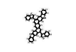 c1ccc2c(-c3cc4cc5c(cc(-c6csc7ccccc67)c6cc7c(cc65)sc5ccccc57)cc4c4cc5sc6ccccc6c5cc34)csc2c1